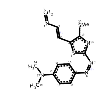 C=N/C=C/c1sc(/N=N\c2ccc(N(C)C)cc2)nc1SC